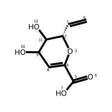 C=C[C@@H]1OC(C(=O)O)=CC(O)C1O